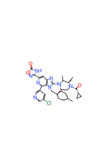 CC1CCC(Cn2c(N3CCN(C(=O)C4CC4)C(C)C3C)nc3cc(-c4noc(=O)[nH]4)nc(-c4cncc(Cl)c4)c32)CC1